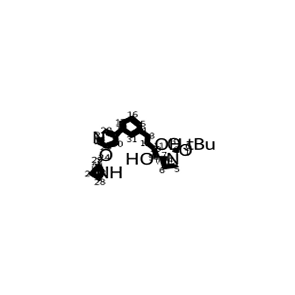 CC(C)(C)OC(=O)N1CC[C@@H]1C(O)C(O)CCc1cccc(-c2cncc(OC[C@H]3CCN3)c2)c1